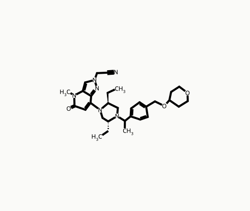 CC[C@H]1CN(C(C)c2ccc(COC3CCOCC3)cc2)[C@H](CC)CN1c1cc(=O)n(C)c2cn(CC#N)nc12